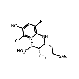 CSCC[C@@H](Nc1nc(Cl)c(C#N)cc1F)[C@H](C)NC(=O)O